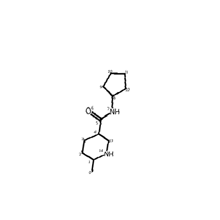 CC1CCC(C(=O)NC2CCCC2)CN1